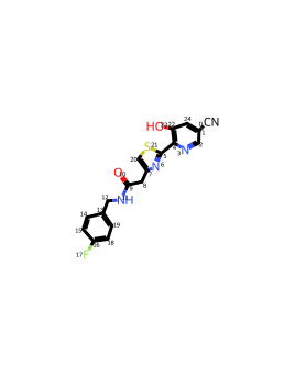 N#Cc1cnc(-c2nc(CC(=O)NCc3ccc(F)cc3)cs2)c(O)c1